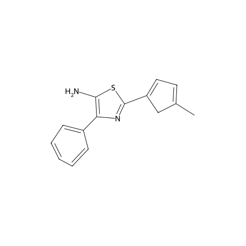 CC1=CC=C(c2nc(-c3ccccc3)c(N)s2)C1